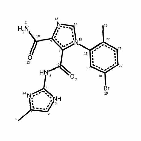 Cc1c[nH]c(NC(=O)c2c(C(N)=O)ncn2-c2cc(Br)ccc2C)n1